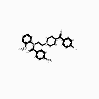 CCOC(=O)c1ccccc1N(CCN1CCC(C(=O)c2ccc(F)cc2)CC1)C(=O)c1ccc([N+](=O)[O-])cc1